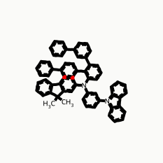 CC1(C)c2ccccc2-c2ccc(N(c3cccc(-n4c5ccccc5c5ccccc54)c3)c3cccc(-c4cccc(-c5ccccc5)c4)c3-c3ccc(-c4ccccc4)cc3)cc21